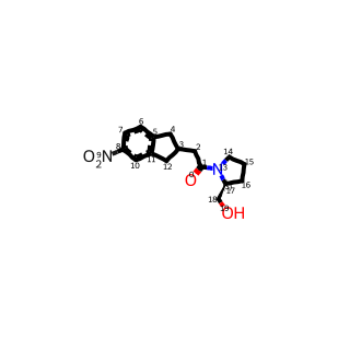 O=C(CC1Cc2ccc([N+](=O)[O-])cc2C1)N1CCC[C@H]1CO